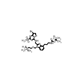 CC(C)(C)OC(=O)NCCCc1cccc2c1nc(CNc1nc(S(C)(=O)=O)nc3c(Br)cnn13)n2COCCS(C)(C)C